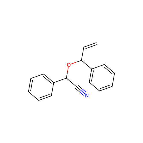 C=CC(OC(C#N)c1ccccc1)c1ccccc1